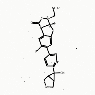 CC(=O)NC[C@@H]1OC(=O)N2c3cc(F)c(-c4ccc(C5(C#N)C6COCC65)nc4)cc3C[C@@H]12